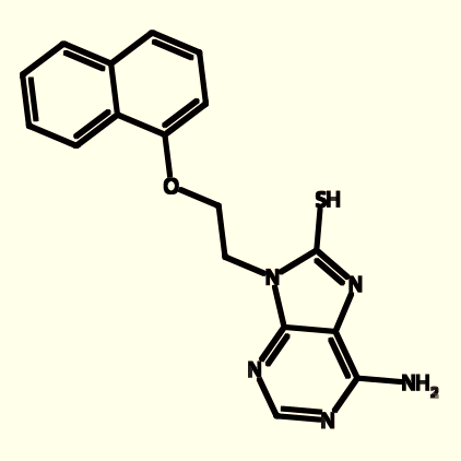 Nc1ncnc2c1nc(S)n2CCOc1cccc2ccccc12